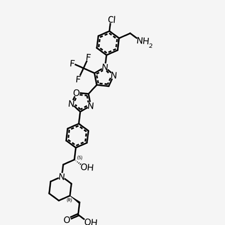 NCc1cc(-n2ncc(-c3nc(-c4ccc([C@H](O)CN5CCC[C@H](CC(=O)O)C5)cc4)no3)c2C(F)(F)F)ccc1Cl